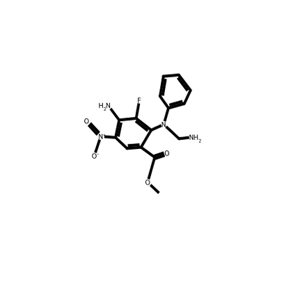 COC(=O)c1cc([N+](=O)[O-])c(N)c(F)c1N(CN)c1ccccc1